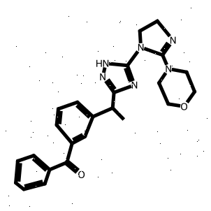 CC(c1cccc(C(=O)c2ccccc2)c1)c1n[nH]c(N2CCN=C2N2CCOCC2)n1